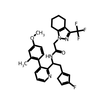 COc1ccc(-c2cccnc2C(CC2=CC(F)=CC2)NC(=O)Cn2nc(C(F)(F)F)c3c2CCCC3)c(C)c1